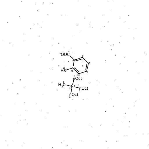 CCCCCCCC[N+](C)(CCCCCCCC)CCCCCCCC.O=C([O-])c1ccccc1S